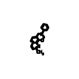 Cc1ccc2ccc3c(c2n1)OCN(c1ccccc1)C3